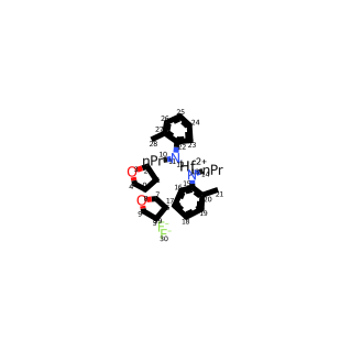 C1CCOC1.C1CCOC1.CCC[N]([Hf+2][N](CCC)c1ccccc1C)c1ccccc1C.[F-].[F-]